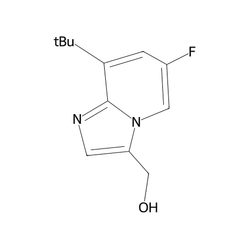 CC(C)(C)c1cc(F)cn2c(CO)cnc12